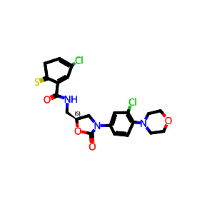 O=C(NC[C@H]1CN(c2ccc(N3CCOCC3)c(Cl)c2)C(=O)O1)C1=CC(Cl)=CCC1=S